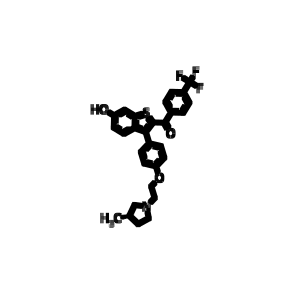 C[C@@H]1CCN(CCOc2ccc(-c3c(C(=O)c4ccc(C(F)(F)F)cc4)sc4cc(O)ccc34)cc2)C1